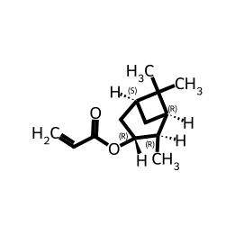 C=CC(=O)O[C@@H]1C[C@@H]2C[C@H]([C@H]1C)C2(C)C